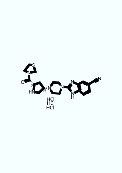 Cl.Cl.Cl.N#Cc1ccc2[nH]c(N3CCN([C@@H]4CN[C@H](C(=O)N5CCSC5)C4)CC3)nc2c1